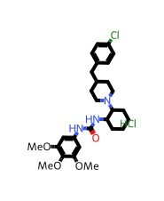 COc1cc(NC(=O)NC2CCCCC2N2CCC(Cc3ccc(Cl)cc3)CC2)cc(OC)c1OC.Cl